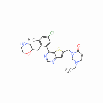 Cc1cc(Cl)cc(-c2ncnc3cc(CN4CN(CC(F)(F)F)C=CC4=O)sc23)c1CC1CNCCO1